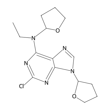 CCN(c1nc(Cl)nc2c1ncn2C1CCCO1)C1CCCO1